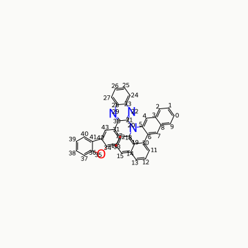 c1ccc2cc3c(cc2c1)-c1cccc2cccc(c12)N3c1nc2ccccc2nc1-c1ccc2oc3ccccc3c2c1